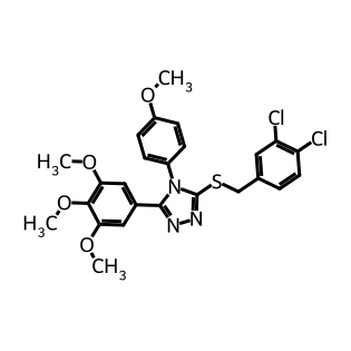 COc1ccc(-n2c(SCc3ccc(Cl)c(Cl)c3)nnc2-c2cc(OC)c(OC)c(OC)c2)cc1